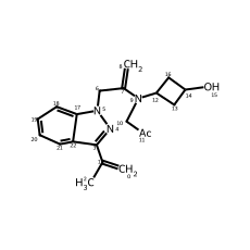 C=C(C)c1nn(CC(=C)N(CC(C)=O)C2CC(O)C2)c2ccccc12